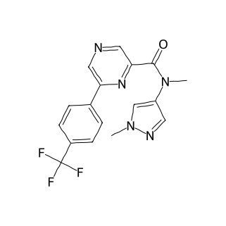 CN(C(=O)c1cncc(-c2ccc(C(F)(F)F)cc2)n1)c1cnn(C)c1